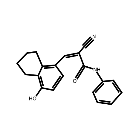 N#CC(=Cc1ccc(O)c2c1CCCC2)C(=O)Nc1ccccc1